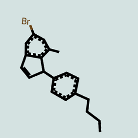 CCCCc1ccc(C2C=Cc3cc(Br)cc(C)c32)cc1